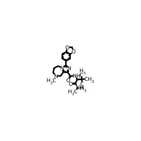 CNC(=O)C(NC(=O)c1nc(-c2ccc3c(c2)OCO3)n2c1CN(C)CCC2)C(C)(C)C